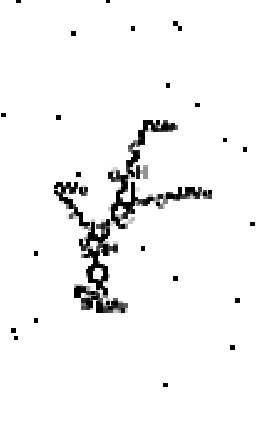 COCCOCCNC(=O)CCC(CC(=O)CCC(NC(=O)C1CCC(OP(=O)(SC)C(C)C)CC1)C(=O)NCCOCCOC)C(=O)NCCOCCOC